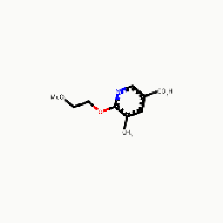 COCCOc1ncc(C(=O)O)cc1C